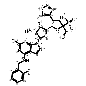 O=P(O)(O)C(CO)(CCc1nn[nH]n1)OC[C@H]1O[C@@H](n2ncc3c(NCc4ccccc4Cl)nc(Cl)nc32)[C@H](O)[C@@H]1O